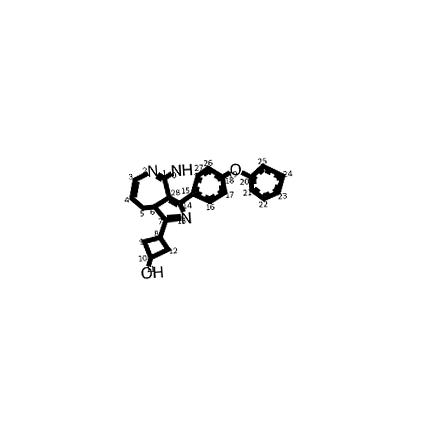 NC1=NC=CCC2C(C3CC(O)C3)=NC(c3ccc(Oc4ccccc4)cc3)=C12